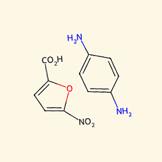 Nc1ccc(N)cc1.O=C(O)c1ccc([N+](=O)[O-])o1